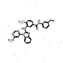 Cc1ccc(C(=O)Nc2cccc(CF)c2)cc1Nc1nc2ccccc2n1-c1cc(N)ncn1